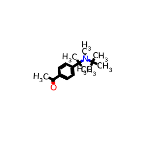 CC(=O)c1ccc(C(C)(C)N(C)C(C)(C)C)cc1